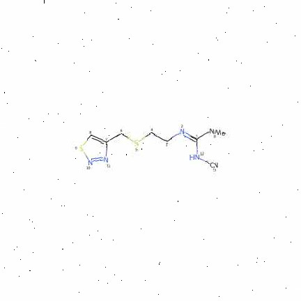 CNC(=NCCSCc1csnn1)NC#N